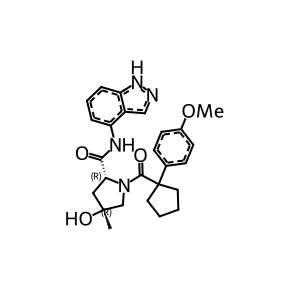 COc1ccc(C2(C(=O)N3C[C@](C)(O)C[C@@H]3C(=O)Nc3cccc4[nH]ncc34)CCCC2)cc1